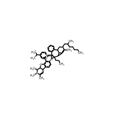 CCCCCC(C)CC1CC2c3ccccc3C3(CC)[C@H](c4ccc5c(c4-c4cc(C(C)C)cc[n+]4C)OC4C5C=C(C)N(C)C4C)C3(CCC)C3C(=C1C)C23